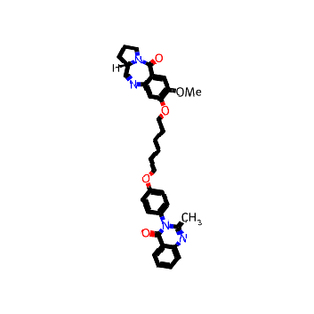 COc1cc2c(cc1OCCCCCCOc1ccc(-n3c(C)nc4ccccc4c3=O)cc1)N=C[C@@H]1CCCN1C2=O